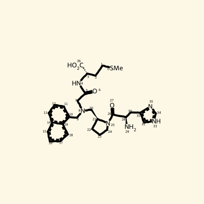 CSCC[C@H](NC(=O)CN(Cc1cccc2ccccc12)C[C@@H]1CCCN1C(=O)[C@H](N)Cc1c[nH]cn1)C(=O)O